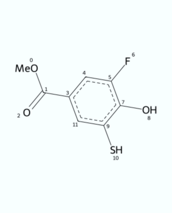 COC(=O)c1cc(F)c(O)c(S)c1